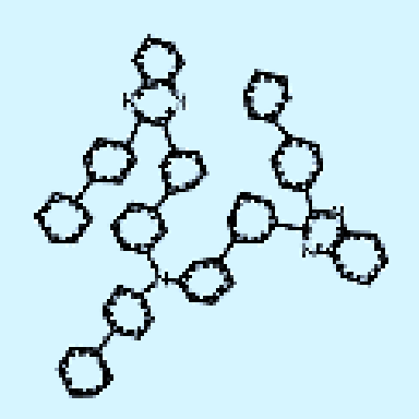 c1ccc(-c2ccc(-c3nc4ccccc4nc3-c3cccc(-c4cccc(N(c5ccc(-c6ccccc6)cc5)c5cccc(-c6cccc(-c7nc8ccccc8nc7-c7ccc(-c8ccccc8)cc7)c6)c5)c4)c3)cc2)cc1